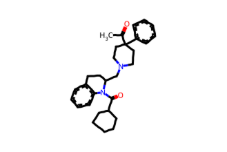 CC(=O)C1(c2ccccc2)CCN(CC2CCc3ccccc3N2C(=O)C2CCCCC2)CC1